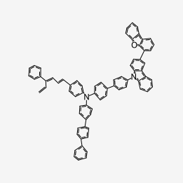 C=C/C(=C\C=C\c1ccc(N(c2ccc(-c3ccc(-c4ccccc4)cc3)cc2)c2ccc(-c3ccc(-n4c5ccccc5c5cc(-c6cccc7c6oc6ccccc67)ccc54)cc3)cc2)cc1)c1ccccc1